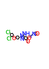 COc1cc2nc(-c3ccc(Oc4ccc(Cl)cc4Cl)cc3)nc(N)c2cc1OCCCN1CCOCC1